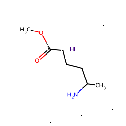 COC(=O)CCCC(C)N.I